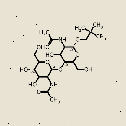 CC(=O)NC1C(O)[C@H](O)C(CO)O[C@H]1O[C@@H]1C(CO)O[C@@H](OCC(C)(C)C)C(NC(C)=O)C1O